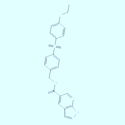 CCOc1ccc(S(=O)(=O)c2ccc(CNC(=O)c3cnc4[nH]ncc4c3)cc2)cc1